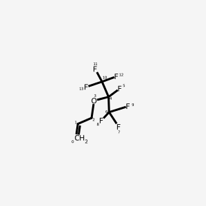 C=CCOC(F)(C(F)(F)F)C(F)(F)F